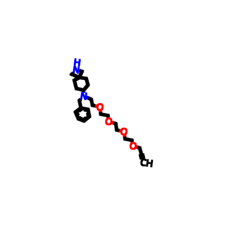 C#CCOCCOCCOCCOCCN(Cc1ccccc1)C1CCC2(CC1)CNC2